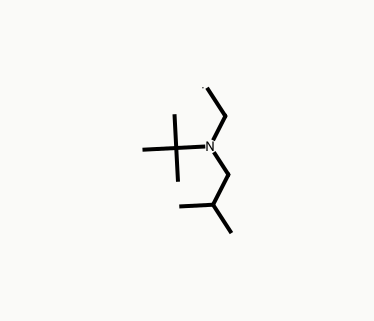 [CH2]CN(CC(C)C)C(C)(C)C